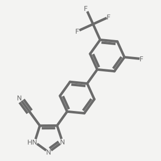 N#Cc1[nH]nnc1-c1ccc(-c2cc(F)cc(C(F)(F)F)c2)cc1